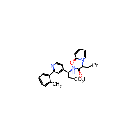 Cc1ccccc1-c1cc(C(CC(=O)O)NC(=O)C(CC(C)C)n2ccccc2=O)ccn1